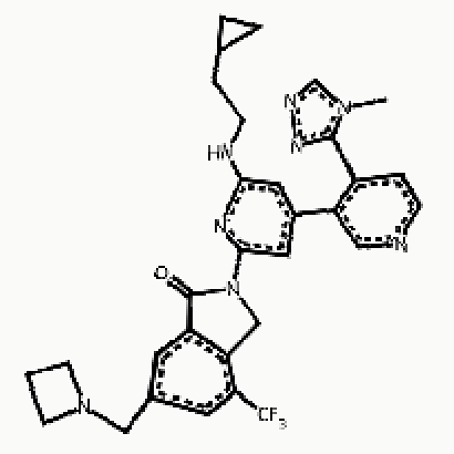 Cn1cnnc1-c1ccncc1-c1cc(NCCC2CC2)nc(N2Cc3c(cc(CN4CCC4)cc3C(F)(F)F)C2=O)c1